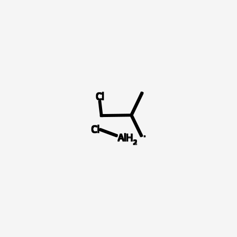 [AlH2][Cl].[CH2]C(C)CCl